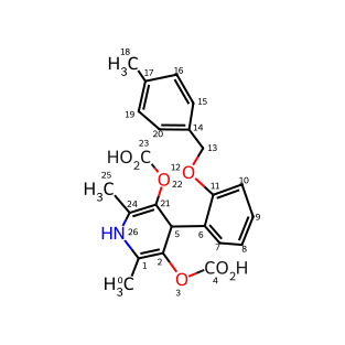 CC1=C(OC(=O)O)C(c2ccccc2OCc2ccc(C)cc2)C(OC(=O)O)=C(C)N1